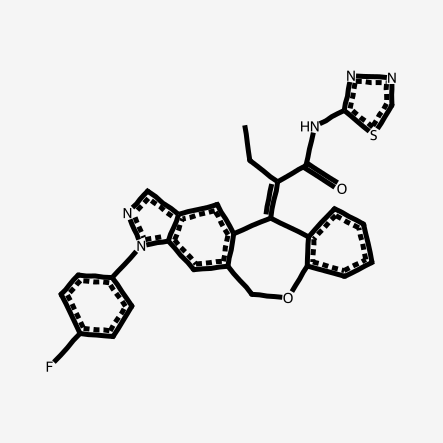 CC/C(C(=O)Nc1nncs1)=C1\c2cc3cnn(-c4ccc(F)cc4)c3cc2COc2ccccc21